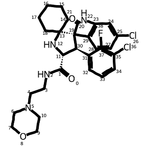 O=C(NCCN1CCOCC1)[C@@H]1NC2(CCCCC2)[C@@]2(C(=O)Nc3cc(Cl)ccc32)[C@H]1c1cccc(Cl)c1F